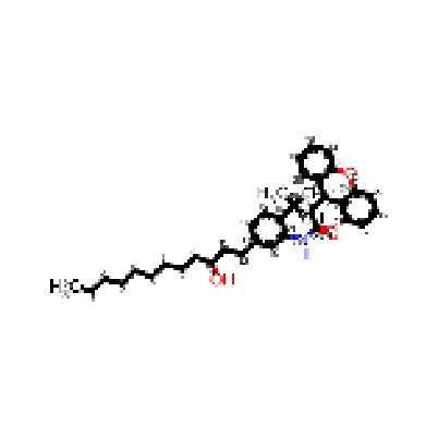 CCCCCCCCCC(O)CCc1ccc(C(C)(C)C)c(NC(=O)CC2c3ccccc3Oc3ccccc32)c1